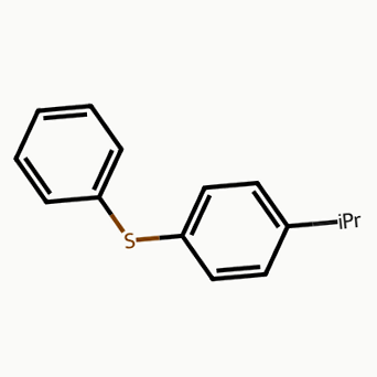 CC(C)c1ccc(Sc2ccccc2)cc1